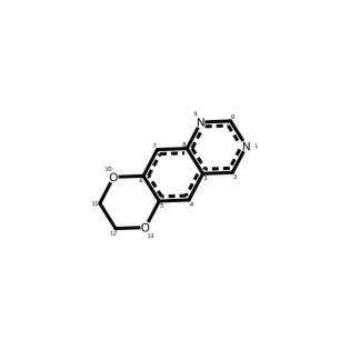 c1ncc2cc3c(cc2n1)OCCO3